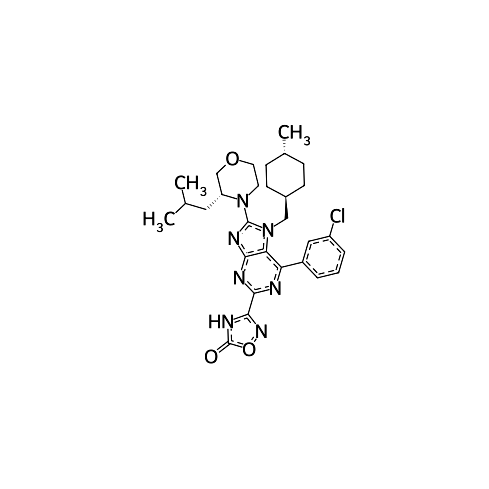 CC(C)C[C@@H]1COCCN1c1nc2nc(-c3noc(=O)[nH]3)nc(-c3cccc(Cl)c3)c2n1C[C@H]1CC[C@H](C)CC1